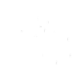 CC1COC(C)(CC(OS(=O)(=O)c2c(F)c(F)c(F)c(F)c2F)C(F)(F)F)OC1